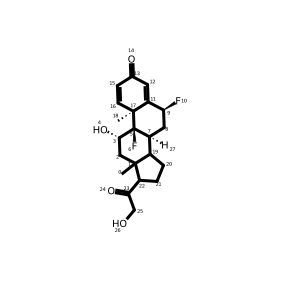 CC12C[C@H](O)[C@@]3(F)[C@@H](C[C@H](F)C4=CC(=O)C=C[C@@]43C)C1CCC2C(=O)CO